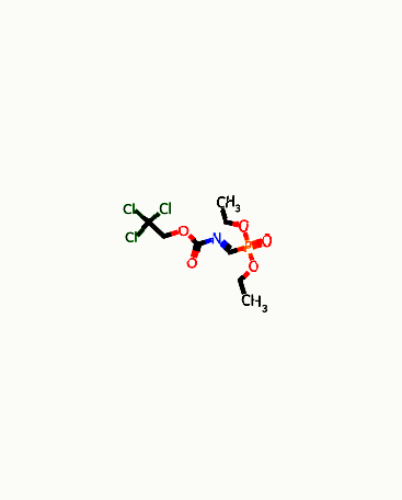 CCOP(=O)(C=NC(=O)OCC(Cl)(Cl)Cl)OCC